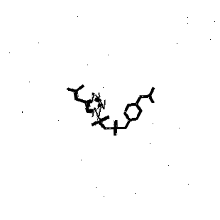 CC(C)Cc1cn(C(C)(C)CC(C)(C)CC2CCC(CC(C)C)CC2)nn1